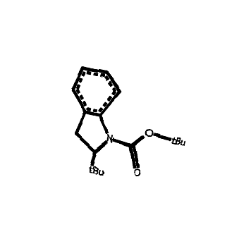 CC(C)(C)OC(=O)N1c2ccccc2CC1C(C)(C)C